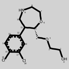 OCCOC[C@H]1OCCNCC1c1ccc(Cl)c(Cl)c1